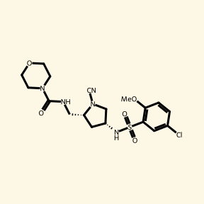 COc1ccc(Cl)cc1S(=O)(=O)N[C@@H]1C[C@H](CNC(=O)N2CCOCC2)N(C#N)C1